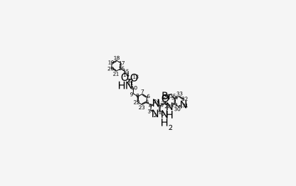 Nc1ncc(-c2ccc(CCNC(=O)OCc3ccccc3)cc2)nc1C(=O)Nc1cnccc1Br